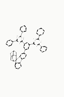 c1ccc(-c2nc(-c3ccccc3)nc(-c3cc(-c4ccc5c(c4)C4(c6ccccc6-5)C5CC6CC(C5)CC4C6)cc(-c4nc(-c5ccccc5)nc(-c5ccccc5)n4)c3)n2)cc1